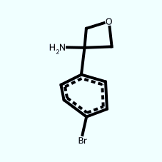 NC1(c2ccc(Br)cc2)COC1